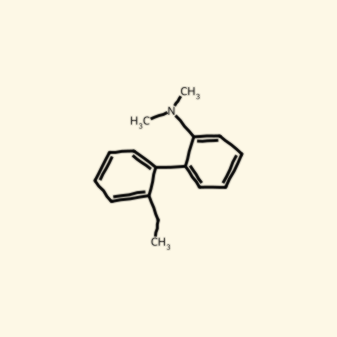 CCc1ccccc1-c1ccccc1N(C)C